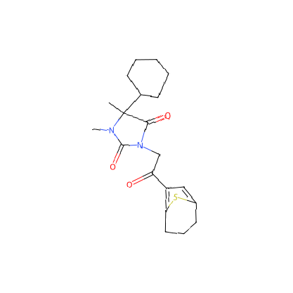 CN1C(=O)N(CC(=O)c2cc3sc2CCC3)C(=O)C1(C)C1CCCCC1